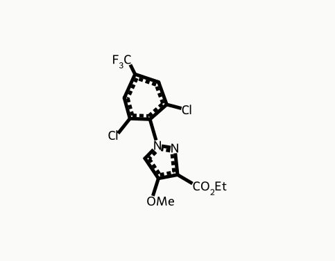 CCOC(=O)c1nn(-c2c(Cl)cc(C(F)(F)F)cc2Cl)cc1OC